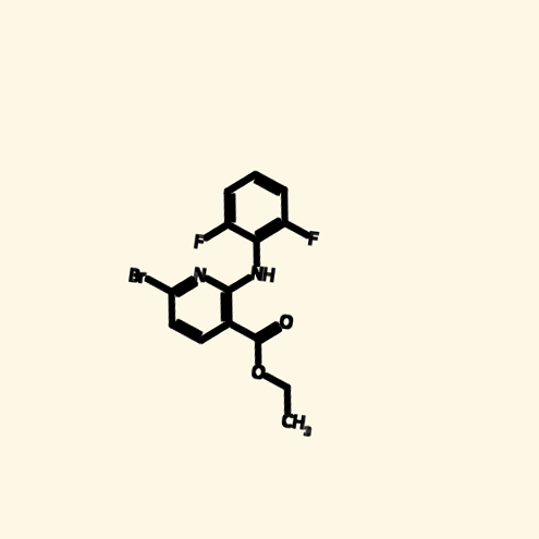 CCOC(=O)c1ccc(Br)nc1Nc1c(F)cccc1F